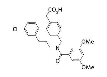 COc1cc(OC)cc(C(=O)N(CCCc2cccc(Cl)c2)Cc2ccc(CC(=O)O)cc2)c1